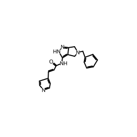 O=C(/C=C/c1ccncc1)Nc1[nH]nc2c1CN(Cc1ccccc1)C2